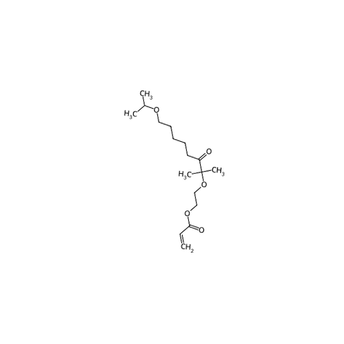 C=CC(=O)OCCOC(C)(C)C(=O)CCCCCOC(C)C